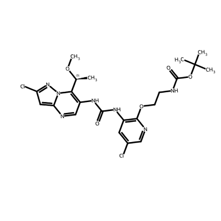 CO[C@@H](C)c1c(NC(=O)Nc2cc(Cl)cnc2OCCNC(=O)OC(C)(C)C)cnc2cc(Cl)nn12